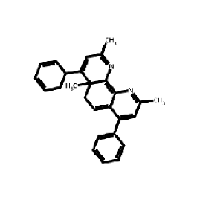 CC1=NC2=c3nc(C)cc(-c4ccccc4)c3=CCC2(C)C(C2C=CC=CC2)=C1